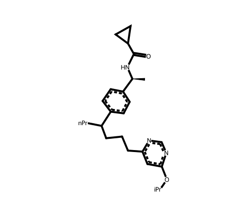 CCCC(CCCc1cc(OC(C)C)ncn1)c1ccc([C@H](C)NC(=O)C2CC2)cc1